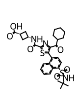 CC(C)(C)NS(=O)(=O)c1ccc(-c2sc(C(=O)N[C@H]3C[C@H](C(=O)O)C3)nc2C(=O)C2CCCCC2)c2ccccc12